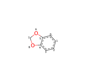 [c]1cccc2c1OCO2